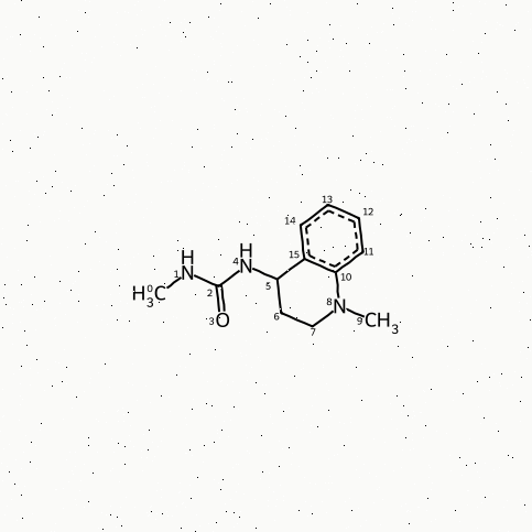 CNC(=O)NC1CCN(C)c2ccccc21